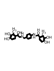 Cc1c(C(O)CNCc2ccc(NCC(O)c3ccc(O)c(O)c3C)cc2)ccc(O)c1O